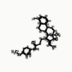 COc1ccc(NC(=O)CC[C@@H]2/C(=C/O)C(=O)[C@@]3(C)CCC4c5cccc(F)c5CCC4C23)nn1